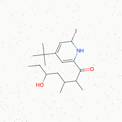 CCC(O)CC(C)C(C)C(=O)C1=CC(C(C)(C)C)=CC(I)N1